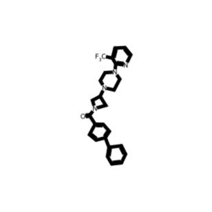 O=C(c1ccc(-c2ccccc2)cc1)N1CC(N2CCN(c3ncccc3C(F)(F)F)CC2)C1